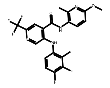 COc1ccc(NC(=O)c2cc(C(F)(F)F)ncc2Nc2ccc(F)c(F)c2C)c(C)n1